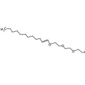 CCCCCCCCCCC=COCCOCCOCCO